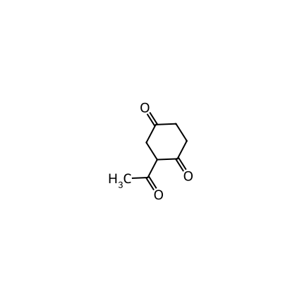 CC(=O)C1CC(=O)CCC1=O